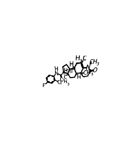 CC1=C2N(C)C(=O)CC[C@]2(C)[C@H]2CC[C@]3(C)[C@@H](C(=O)Nc4ccc(F)cc4Cl)CC[C@H]3[C@@H]2C1